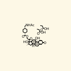 CC(=O)NC[C@H]1CC[C@H](C(=O)OCC(=O)[C@@]2(O)[C@@H](C)C[C@H]3[C@@H]4CCC5=CC(=O)C=C[C@]5(C)[C@@]4(Cl)[C@@H](O)C[C@@]32C)CC1.CCC(=O)O.CCC(=O)O